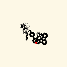 CCCCc1ncc([N+](=O)[O-])c(=O)n1Cc1ccc(-c2ccccc2-c2nnnn2C(c2ccccc2)(c2ccccc2)c2ccccc2)cc1